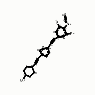 CCC1CCC(C#Cc2ccc(C#Cc3cc(F)c(N=C=S)c(F)c3)cc2)CC1